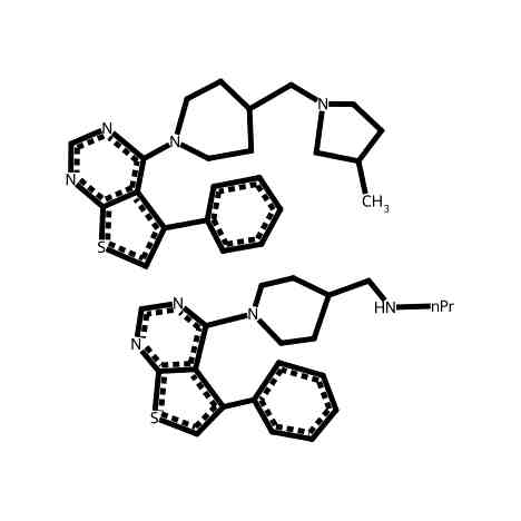 CC1CCN(CC2CCN(c3ncnc4scc(-c5ccccc5)c34)CC2)C1.CCCNCC1CCN(c2ncnc3scc(-c4ccccc4)c23)CC1